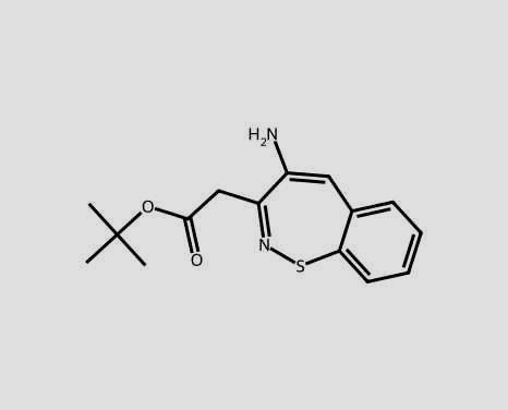 CC(C)(C)OC(=O)CC1=NSc2ccccc2C=C1N